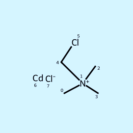 C[N+](C)(C)CCl.[Cd].[Cl-]